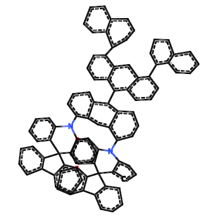 c1ccc2c(c1)-c1ccccc1C21c2ccccc2N(c2cccc3c(-c4c5cccc(-c6cccc7ccccc67)c5cc5c(-c6cccc7ccccc67)cccc45)c4cccc(N5c6ccccc6C6(c7ccccc7-c7ccccc76)c6ccccc65)c4cc23)c2ccccc21